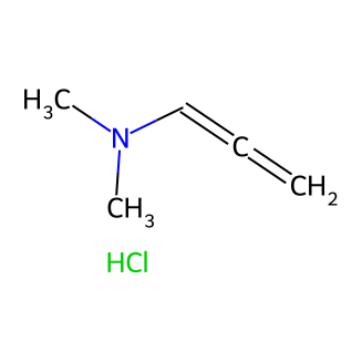 C=C=CN(C)C.Cl